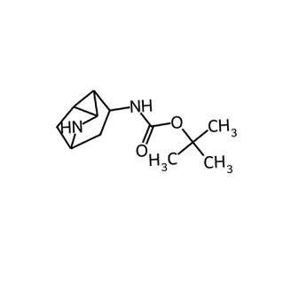 CC(C)(C)OC(=O)NC1CC2CC3C(N2)C13